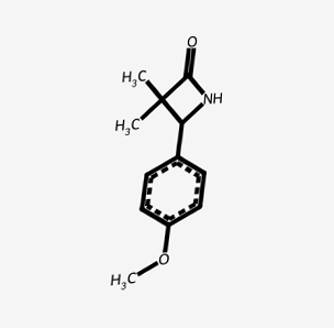 COc1ccc(C2NC(=O)C2(C)C)cc1